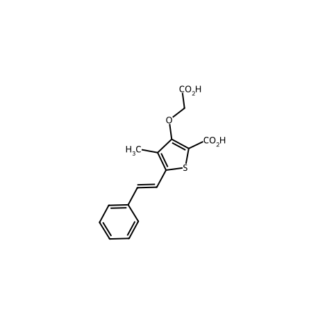 Cc1c(C=Cc2ccccc2)sc(C(=O)O)c1OCC(=O)O